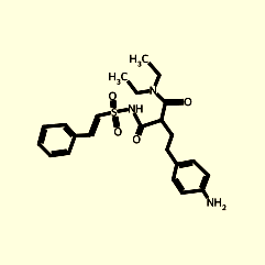 CCN(CC)C(=O)C(CCc1ccc(N)cc1)C(=O)NS(=O)(=O)/C=C/c1ccccc1